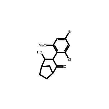 COc1cc(Br)cc(Cl)c1C1C(=O)C2CCC(C2)C1O